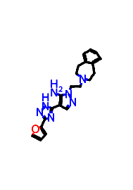 Nc1c(-c2nc(-c3ccco3)n[nH]2)cnn1CCN1CCc2ccccc2CC1